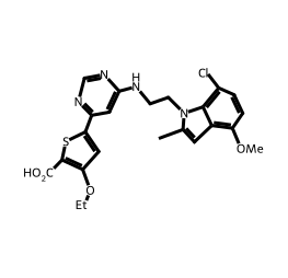 CCOc1cc(-c2cc(NCCn3c(C)cc4c(OC)ccc(Cl)c43)ncn2)sc1C(=O)O